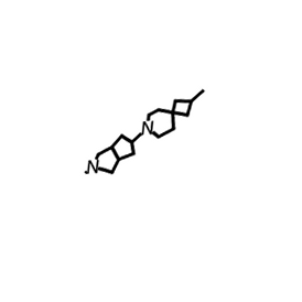 CC1CC2(CCN(C3CC4CN(C)CC4C3)CC2)C1